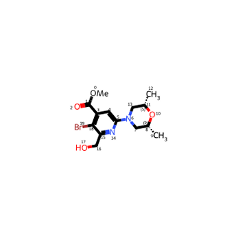 COC(=O)c1cc(N2C[C@@H](C)O[C@@H](C)C2)nc(CO)c1Br